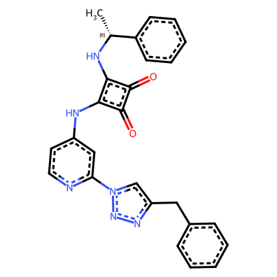 C[C@@H](Nc1c(Nc2ccnc(-n3cc(Cc4ccccc4)nn3)c2)c(=O)c1=O)c1ccccc1